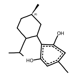 Cc1cc(O)c(C2C[C@H](C)CCC2C(C)C)c(O)c1